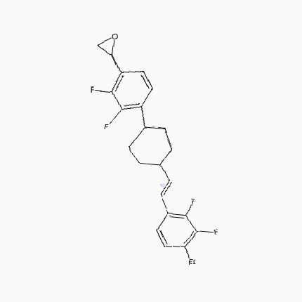 CCc1ccc(/C=C/C2CCC(c3ccc(C4CO4)c(F)c3F)CC2)c(F)c1F